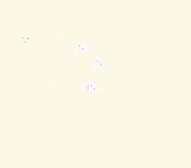 COC(=O)Cc1nc(C)nc(NCc2cccc3c2CCC3(F)F)c1C1CCCO1